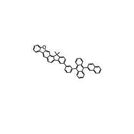 CC1(C)c2ccc(-c3cccc(-c4c5ccccc5c(-c5ccc6ccccc6c5)c5ccccc45)c3)cc2-c2ccc3cc4c(cc3c21)oc1ccccc14